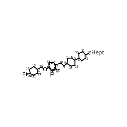 CCCCCCCC1CCC(C2CCC(CCc3ccc(OCC4CCC(CC)CC4)c(F)c3F)CC2)CC1